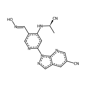 C[C@H](C#N)Nc1cc(-n2ncc3cc(C#N)cnc32)ncc1/C=N/O